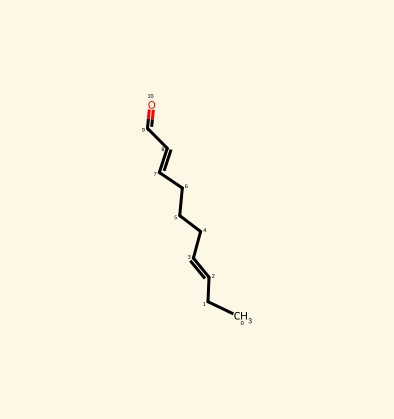 CCC=CCCCC=C[C]=O